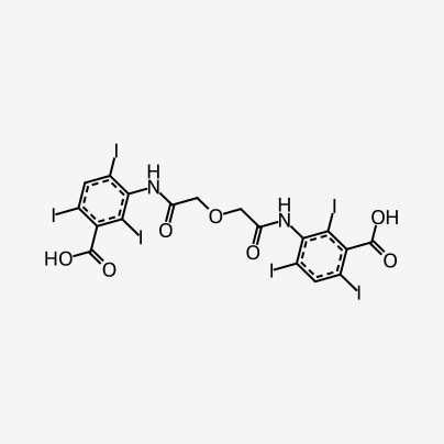 O=C(COCC(=O)Nc1c(I)cc(I)c(C(=O)O)c1I)Nc1c(I)cc(I)c(C(=O)O)c1I